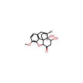 COc1ccc2c3c1OC1C(=O)CC(O)[C@@]4(O)[C@H](CCCC314)C2